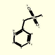 CS(=O)(=O)Cc1cnccn1